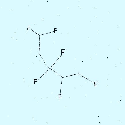 F[CH]C(F)C(F)(F)CC(F)F